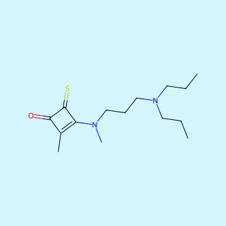 CCCN(CCC)CCCN(C)c1c(C)c(=O)c1=S